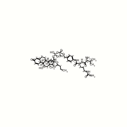 CCCC1O[C@@H]2C[C@H]3[C@@H]4CCC5=CC(=O)C=C[C@]5(C)[C@H]4[C@@H](O)C[C@]3(C)[C@]2(C(=O)COP(=O)(O)OP(=O)(O)OCc2ccc(NC(=O)[C@H](CCCNC(N)=O)NC(=O)[C@@H](N)C(C)C)cc2)O1